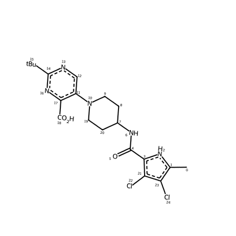 Cc1[nH]c(C(=O)NC2CCN(c3cnc(C(C)(C)C)nc3C(=O)O)CC2)c(Cl)c1Cl